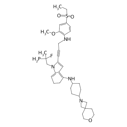 CCS(=O)(=O)c1ccc(NCC#Cc2cc3c(n2CC(C)(F)P)=CCCC=3NC2CCC(N3CC4(CCOCC4)C3)CC2)c(OC)c1